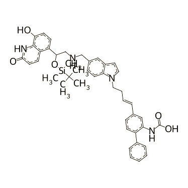 CC(C)(C)[Si](C)(C)OC(CNCc1ccc2c(ccn2CC/C=C/c2ccc(-c3ccccc3)c(NC(=O)O)c2)c1)c1ccc(O)c2[nH]c(=O)ccc12